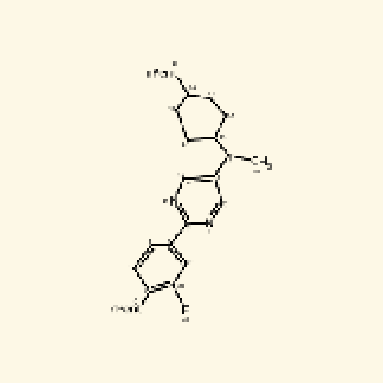 CCCCCc1ccc(-c2ncc(C(C)C3CCC(CCCCC)CC3)cn2)cc1F